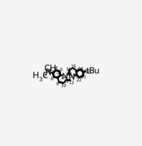 CN(C)c1ccc2c(c1)C=CC1=CN3C(=CCc4cc(C(C)(C)C)ccc43)N12